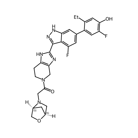 CCc1cc(O)c(F)cc1-c1cc(F)c2c(-c3nc4c([nH]3)CCN(C(=O)CN3C[C@@H]5C[C@H]3CO5)C4)n[nH]c2c1